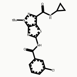 CC(C)(C)n1nc(C(=O)NC2CC2)c2sc(NC(=O)c3cccc(Cl)c3)nc21